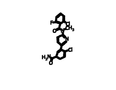 CN(C(=O)c1c(F)cccc1Cl)c1ccc(C2=CC(C(N)=O)CC=C2Cl)cn1